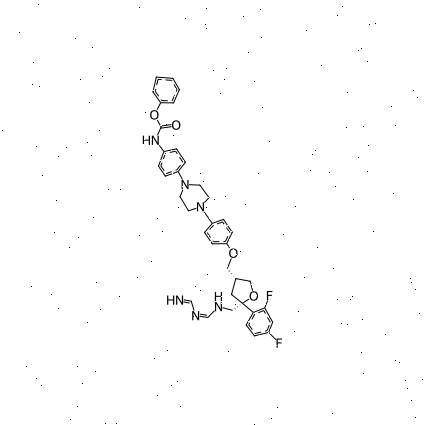 N=C/N=C\NC[C@]1(c2ccc(F)cc2F)C[C@H](COc2ccc(N3CCN(c4ccc(NC(=O)Oc5ccccc5)cc4)CC3)cc2)CO1